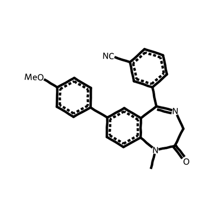 COc1ccc(-c2ccc3c(c2)C(c2cccc(C#N)c2)=NCC(=O)N3C)cc1